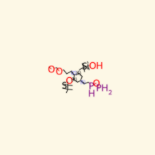 COCOCC/C=C1/[C@H](CC(C)(C)[Si](C)(C)O)C/C(=C\CPOP)C[C@H]1O[Si](C)(C)C(C)(C)C